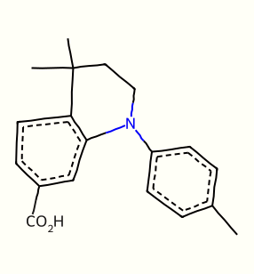 Cc1ccc(N2CCC(C)(C)c3ccc(C(=O)O)cc32)cc1